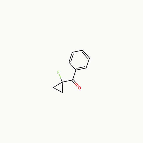 O=C(c1ccccc1)C1(F)CC1